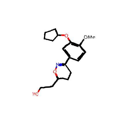 COc1ccc(C2=NOC(CCO)CC2)cc1OC1CCCC1